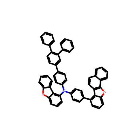 c1ccc(-c2ccc(-c3ccc(N(c4ccc(-c5cccc6oc7c8ccccc8ccc7c56)cc4)c4cccc5oc6ccccc6c45)cc3)cc2-c2ccccc2)cc1